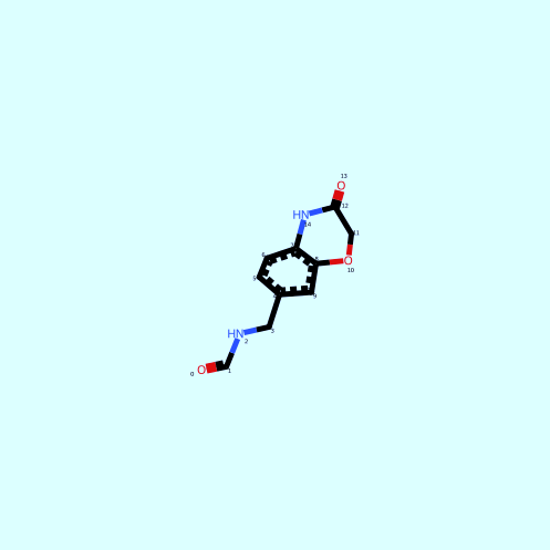 O=CNCc1ccc2c(c1)OCC(=O)N2